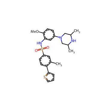 COc1ccc(N2CC(C)NC(C)C2)cc1NS(=O)(=O)c1ccc(-c2cccs2)c(C)c1